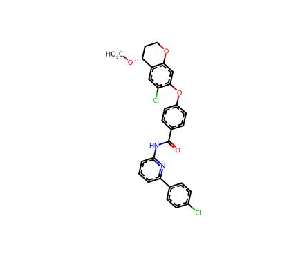 O=C(O)O[C@@H]1CCOc2cc(Oc3ccc(C(=O)Nc4cccc(-c5ccc(Cl)cc5)n4)cc3)c(Cl)cc21